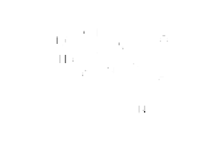 CC(C)(C)OC(=O)N(Cc1cncc(F)c1)c1ncc(C=O)s1